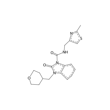 Cc1nc(CNC(=O)n2c(=O)n(CC3CCOCC3)c3ccccc32)cs1